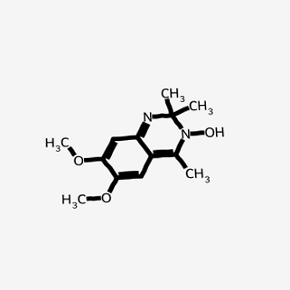 COc1cc2c(cc1OC)=C(C)N(O)C(C)(C)N=2